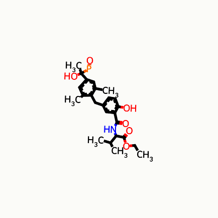 CCOC(=O)C(NC(=O)c1cc(Cc2c(C)cc(C(C)(O)P=O)cc2C)ccc1O)C(C)C